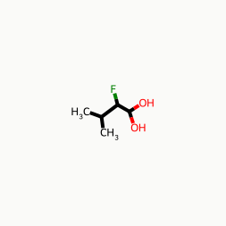 CC(C)C(F)C(O)O